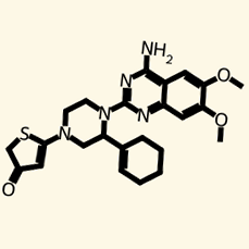 COc1cc2nc(N3CCN(C4=CC(=O)CS4)CC3C3=CCCCC3)nc(N)c2cc1OC